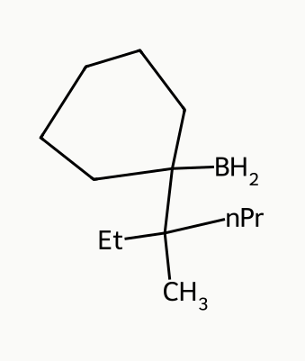 BC1(C(C)(CC)CCC)CCCCC1